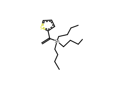 C=[C](c1cccs1)[Sn]([CH2]CCC)([CH2]CCC)[CH2]CCC